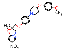 C[C@]1(COc2ccc(N3CCC(Oc4ccc(OC(F)(F)F)cc4)CC3)cc2)Cn2cc([N+](=O)[O-])cc2O1